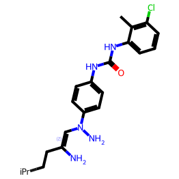 Cc1c(Cl)cccc1NC(=O)Nc1ccc(N(N)/C=C(\N)CCC(C)C)cc1